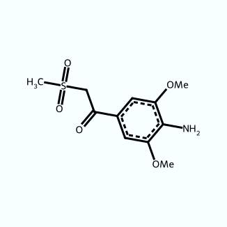 COc1cc(C(=O)CS(C)(=O)=O)cc(OC)c1N